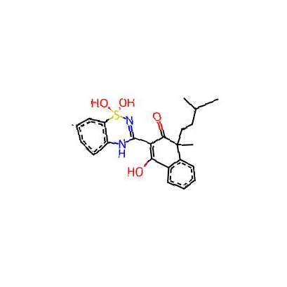 CC(C)CCC1(C)C(=O)C(C2=NS(O)(O)c3c[c]ccc3N2)=C(O)c2ccccc21